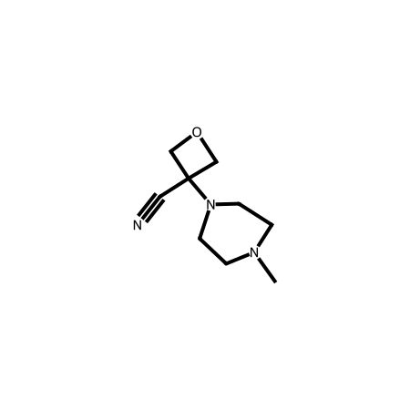 CN1CCN(C2(C#N)COC2)CC1